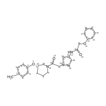 Cc1ccc(O[C@H]2CCCN(C(=O)Cn3cc(NC(=O)COc4ccccc4)cn3)C2)cc1